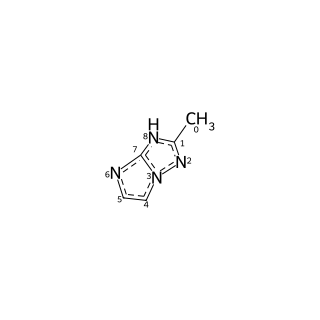 Cc1nn2ccnc2[nH]1